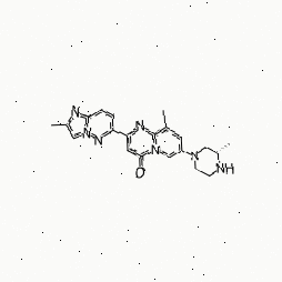 Cc1cn2nc(-c3cc(=O)n4cc(N5CCN[C@@H](C)C5)cc(C)c4n3)ccc2n1